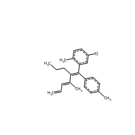 C=C/C=C(C)/C(CCC)=C(\c1ccc(C)cc1)c1cc(Cl)ccc1C